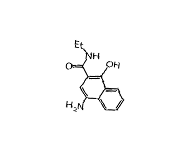 CCNC(=O)c1cc(N)c2ccccc2c1O